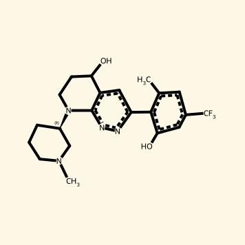 Cc1cc(C(F)(F)F)cc(O)c1-c1cc2c(nn1)N([C@@H]1CCCN(C)C1)CCC2O